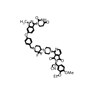 CCOc1cc([C@@H](CC#N)N2C(=O)c3ccnc(N4CCN([C@H]5CCN(Cc6ccc(Oc7ccc8c(N9CCC(=O)NC9=O)nn(C)c8c7)cc6)CC5(F)F)CC4)c3C2=O)ccc1OC